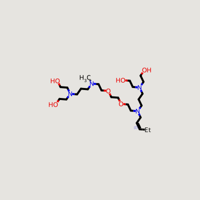 CC/C=C\CN(CCCN(CCO)CCO)CCOCCOCCN(C)CCCN(CCO)CCO